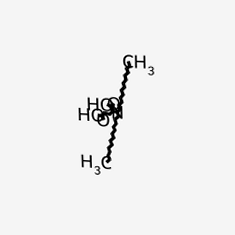 CCCCCCCCCCCCCCN(CCCCCCCCCCCCCC)C(CCC(=O)O)C(=O)O